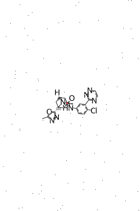 Cc1nnc([C@]23C[C@H](C)C[C@H](C2)N3C(=O)Nc2ccc(Cl)c(-c3nccnn3)c2)o1